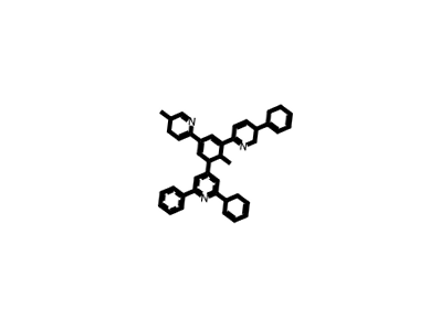 CC1C=NC(C2=CC(c3cc(-c4ccccc4)nc(C4C=CC=CC4)c3)C(C)C(C3=NCC(C4=CC=CCC4)C=C3)=C2)=CC1